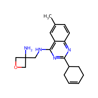 Cc1ccc2nc(C3CC=CCC3)nc(NCC3(N)COC3)c2c1